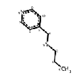 CC[CH]SCc1ccncc1